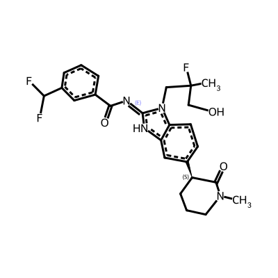 CN1CCC[C@@H](c2ccc3c(c2)[nH]/c(=N\C(=O)c2cccc(C(F)F)c2)n3CC(C)(F)CO)C1=O